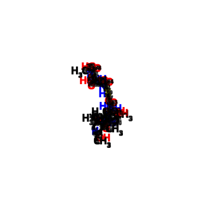 CC[C@]1(O)CC2CN(CCc3c([nH]c4ccccc34)[C@@](C(=O)OC)(c3cc4c(cc3OC)N(C)C3C45CCN4CC=C[C@](CC)(C45)[C@@H](O)[C@]3(O)C(=O)NNC(=O)OCCSSC[C@H](NC(=O)C[C@H](NC(=O)C[C@H](NC(C)=O)C(=O)O)C(=O)O)C(=O)O)C2)C1